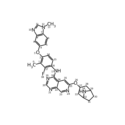 Cc1c(Oc2ccc3c(c2)ncn3C)ccc(Nc2ncnc3cnc(OC4CC5CCC(C4)N5)cc23)c1F